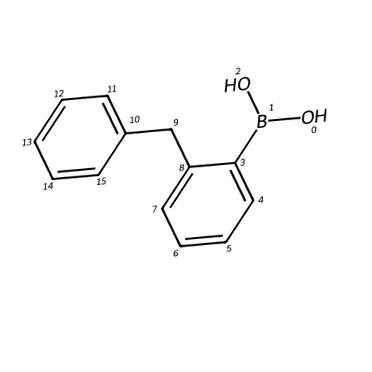 OB(O)c1ccccc1Cc1ccccc1